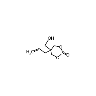 C=CCC1(CO)COS(=O)OC1